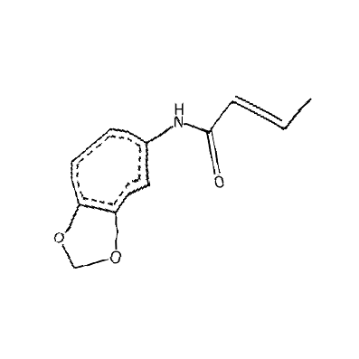 C/C=C/C(=O)Nc1ccc2c(c1)OCO2